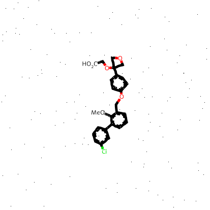 COc1c(COc2ccc(C3(OCC(=O)O)COC3)cc2)cccc1-c1cccc(Cl)c1